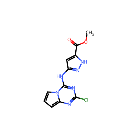 COC(=O)c1cc(Nc2nc(Cl)nc3cccn23)n[nH]1